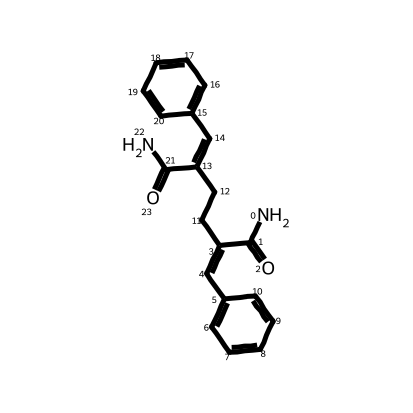 NC(=O)C(=Cc1ccccc1)CCC(=Cc1ccccc1)C(N)=O